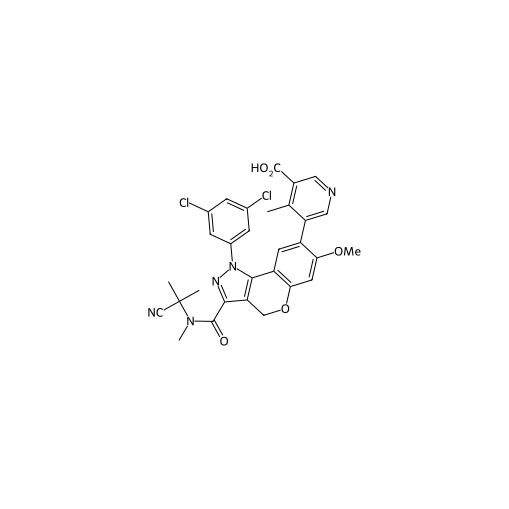 COc1cc2c(cc1-c1cncc(C(=O)O)c1C)-c1c(c(C(=O)N(C)C(C)(C)C#N)nn1-c1cc(Cl)cc(Cl)c1)CO2